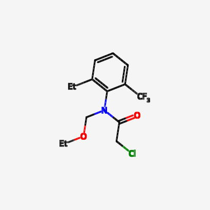 CCOCN(C(=O)CCl)c1c(CC)cccc1C(F)(F)F